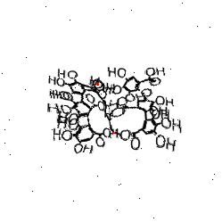 O=C(O)c1cc(O)c(O)c(O)c1Oc1cc2c(c(O)c1O)-c1c(cc(O)c(O)c1O)C(=O)OC[C@H]1OC(=O)c3cc(O)c(O)c(O)c3-c3c(O)c(O)c(O)c4c3C(=O)OC([C@H]3OC(=O)c5c-4c(O)c(O)c(O)c5[C@H]3O)[C@@H]1OC2=O